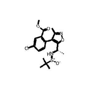 COC(=O)c1cc(Cl)ccc1-c1c(C)noc1[C@H](C)N[S@@+]([O-])C(C)(C)C